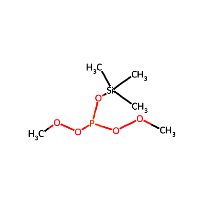 COOP(OOC)O[Si](C)(C)C